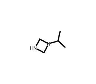 CC(C)N1CNC1